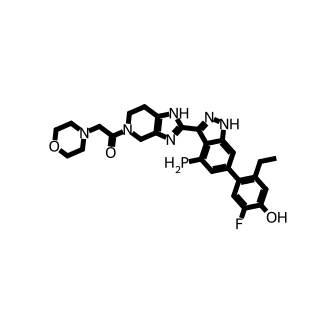 CCc1cc(O)c(F)cc1-c1cc(P)c2c(-c3nc4c([nH]3)CCN(C(=O)CN3CCOCC3)C4)n[nH]c2c1